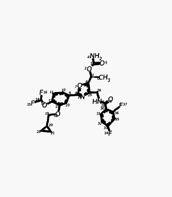 C[C@H](OC(N)=O)c1oc(-c2ccc(OC(F)F)c(OCC3CC3)c2)nc1CNC(=O)c1ccc(F)cc1F